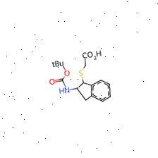 CC(C)(C)OC(=O)NC1Cc2ccccc2C1SCC(=O)O